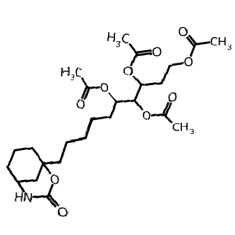 CC(=O)OCCC(OC(C)=O)C(OC(C)=O)C(CCCCCC12CCCC(C1)NC(=O)O2)OC(C)=O